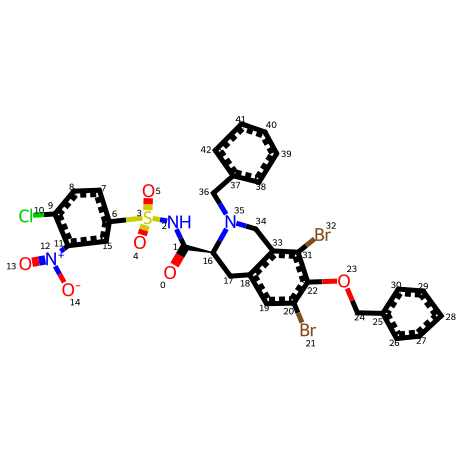 O=C(NS(=O)(=O)c1ccc(Cl)c([N+](=O)[O-])c1)[C@@H]1Cc2cc(Br)c(OCc3ccccc3)c(Br)c2CN1Cc1ccccc1